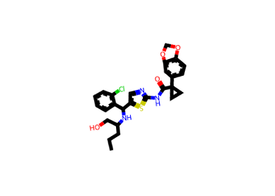 CCCC(CO)NC(c1cnc(NC(=O)C2(c3ccc4c(c3)OCO4)CC2)s1)c1ccccc1Cl